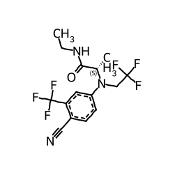 CCNC(=O)[C@H](C)N(CC(F)(F)F)c1ccc(C#N)c(C(F)(F)F)c1